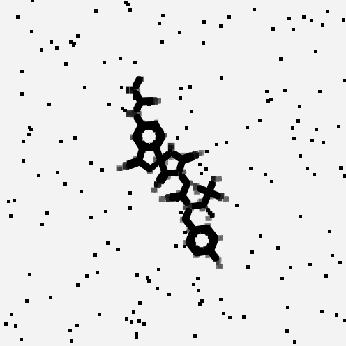 CNC(=O)Nc1ccc2c(c1)C(=O)C[C@]21NC(=O)N(CC(=O)N(Cc2ccc(F)cc2)[C@@H](C)C(F)(F)F)C1=O